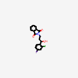 O=C1c2ccccc2C(=O)N1CCC(O)c1ccc(I)cc1F